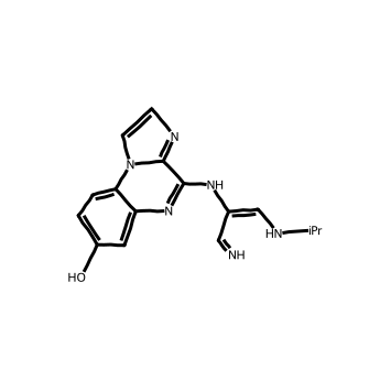 CC(C)N/C=C(\C=N)Nc1nc2cc(O)ccc2n2ccnc12